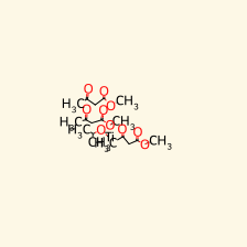 CC(C)[O][Ti].COC(=O)CC(C)=O.COC(=O)CC(C)=O.COC(=O)CC(C)=O